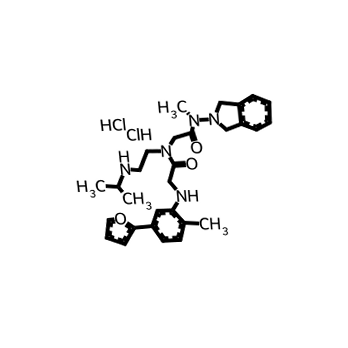 Cc1ccc(-c2ccco2)cc1NCC(=O)N(CCNC(C)C)CC(=O)N(C)N1Cc2ccccc2C1.Cl.Cl